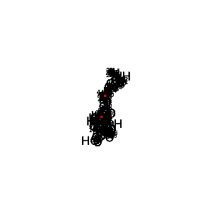 Cc1c(-c2ccc(C3CCc4cccc(C(=O)Nc5nc6ccccc6s5)c4C3)nc2C(=O)O)cnn1CC12CC3(C)CC(C)(C1)CC(OCCN(CCC(N)=O)C(=O)OCc1ccc(NC(=O)[C@H](C)NC(=O)[C@@H](NC(=O)CN4C(=O)C(N5C(=O)C=CC5=O)C[C@H]4COCCS(=O)(=O)O)C(C)C)cc1CC[C@@H]1O[C@H](C(=O)O)[C@@H](O)[C@H](O)[C@H]1O)(C3)C2